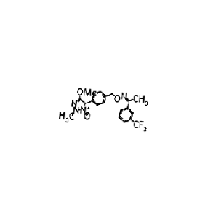 COC1=NN(C)[N+](=O)C1c1ccc(CON=C(C)c2cccc(C(F)(F)F)c2)cc1